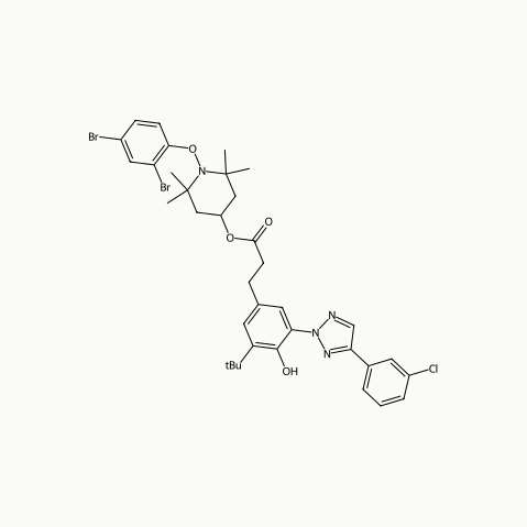 CC(C)(C)c1cc(CCC(=O)OC2CC(C)(C)N(Oc3ccc(Br)cc3Br)C(C)(C)C2)cc(-n2ncc(-c3cccc(Cl)c3)n2)c1O